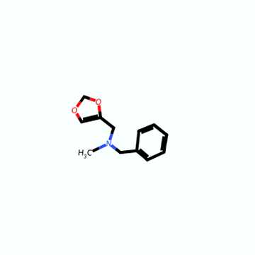 CN(CC1=COCO1)Cc1ccccc1